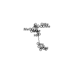 COc1ccc(CCC(OC(=O)C2CCCCN2C(=O)Cc2cc(OC)c(OC)c(OC)c2)c2cccc(OCC(=O)NCCCCCCCC(=O)Nc3cccc4c3CN(C3CCC(=O)NC3=O)C4=O)c2)cc1OC